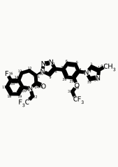 Cc1cn(-c2ccc(-c3cn([C@@H]4CCc5c(F)cccc5N(CC(F)(F)F)C4=O)nn3)cc2OCC(F)(F)F)cn1